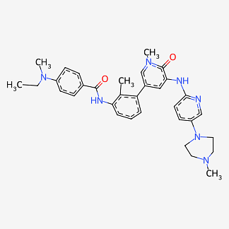 CCN(C)c1ccc(C(=O)Nc2cccc(-c3cc(Nc4ccc(N5CCN(C)CC5)cn4)c(=O)n(C)c3)c2C)cc1